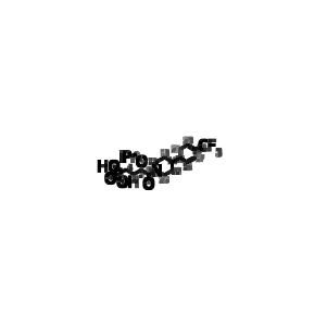 CC(C)OC(CCP(=O)(O)O)C(=O)N1CCC(c2ccc(C(F)(F)F)cc2)CC1